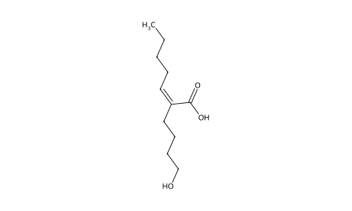 CCCCC=C(CCCCO)C(=O)O